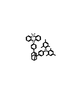 Cc1cc(C)c(B(c2ccc(C34CC5CC(C3)CC(c3ccc(N6c7ccccc7[Si](C)(C)c7ccccc76)cc3)(C5)C4)cc2)c2c(C)cc(C)cc2C)c(C)c1